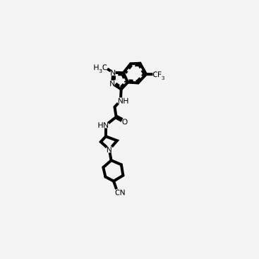 Cn1nc(NCC(=O)NC2CN(C3CCC(C#N)CC3)C2)c2cc(C(F)(F)F)ccc21